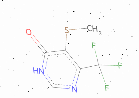 CSc1c(C(F)(F)F)nc[nH]c1=O